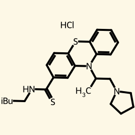 CCC(C)CNC(=S)c1ccc2c(c1)N(C(C)CN1CCCC1)c1ccccc1S2.Cl